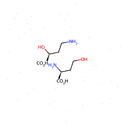 NCC[C@H](O)C(=O)O.N[C@@H](CCO)C(=O)O